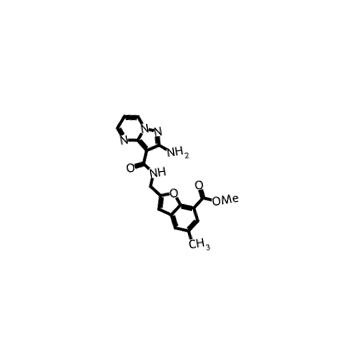 COC(=O)c1cc(C)cc2cc(CNC(=O)c3c(N)nn4cccnc34)oc12